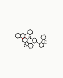 c1ccc(N(c2ccc(-c3cccc4oc5ccccc5c34)cc2)c2cccc3oc4ccccc4c23)c(-c2ccc3ccccc3c2)c1